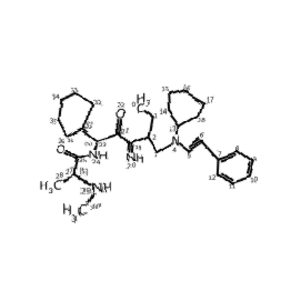 CCC(CN(C=Cc1ccccc1)C1CCCCC1)C(=N)C(=O)[C@@H](NC(=O)[C@H](C)NC)C1CCCCC1